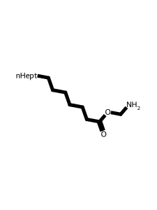 CCCCCCCCCCCCCC(=O)OCN